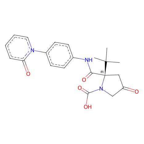 CC(C)(C)[C@@]1(C(=O)Nc2ccc(-n3ccccc3=O)cc2)CC(=O)CN1C(=O)O